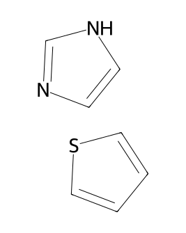 c1c[nH]cn1.c1ccsc1